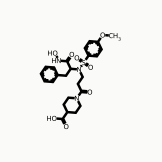 COc1ccc(S(=O)(=O)N(CCC(=O)N2CCC(C(=O)O)CC2)C(Cc2ccccc2)C(=O)NO)cc1